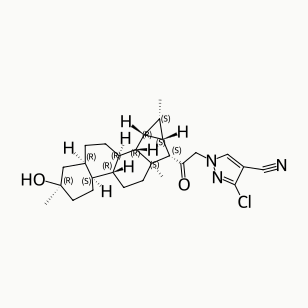 C[C@H]1[C@@H]2[C@H]1[C@H](C(=O)Cn1cc(C#N)c(Cl)n1)[C@@]1(C)CC[C@H]3[C@@H](CC[C@@H]4C[C@](C)(O)CC[C@@H]43)[C@H]21